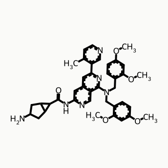 COc1ccc(CN(Cc2ccc(OC)cc2OC)c2nc(-c3cnccc3C)cc3cc(NC(=O)C4C5CC(N)CC54)ncc23)c(OC)c1